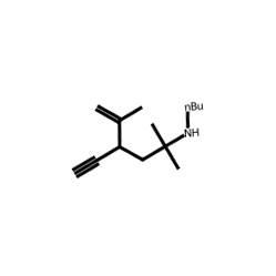 C#CC(CC(C)(C)NCCCC)C(=C)C